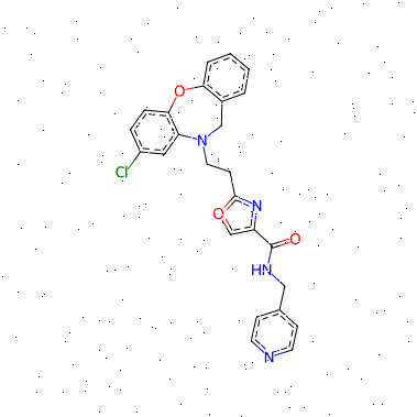 O=C(NCc1ccncc1)c1coc(CCN2Cc3ccccc3Oc3ccc(Cl)cc32)n1